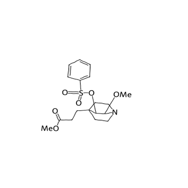 COC(=O)CCC12CCN(CC1)C(OC)C2OS(=O)(=O)c1ccccc1